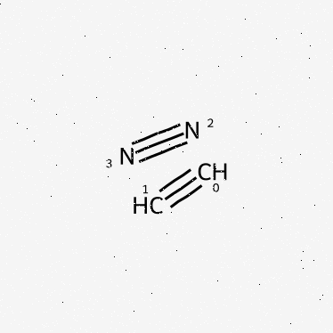 C#C.N#N